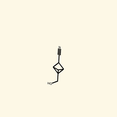 N#CC1C2CC1C2CO